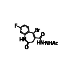 CC(=O)NNC(=O)C1=C(Br)c2ccc(F)cc2NC(=O)C1